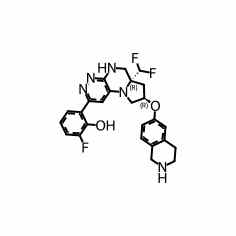 Oc1c(F)cccc1-c1cc2c(nn1)NC[C@@]1(C(F)F)C[C@@H](Oc3ccc4c(c3)CCNC4)CN21